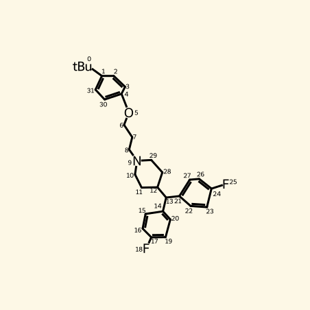 CC(C)(C)c1ccc(OCCCN2CCC(C(c3ccc(F)cc3)c3ccc(F)cc3)CC2)cc1